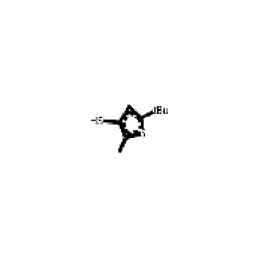 Cc1sc(C(C)(C)C)cc1S